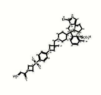 C=CC(=O)N1CC(S(=O)(=O)c2ccc(N3CC(F)(CN4CCC([C@@](Cn5ccnc5CC)(c5cccc(F)c5)[C@H]5CCC[C@@H]5NC(=O)O)CC4)C3)cc2)C1